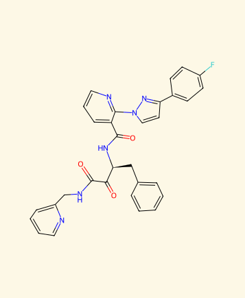 O=C(NCc1ccccn1)C(=O)[C@H](Cc1ccccc1)NC(=O)c1cccnc1-n1ccc(-c2ccc(F)cc2)n1